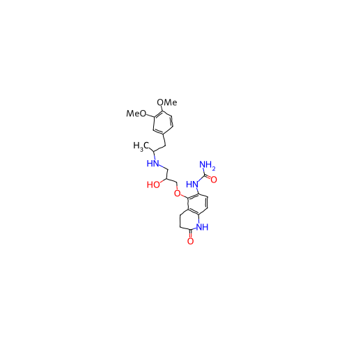 COc1ccc(CC(C)NCC(O)COc2c(NC(N)=O)ccc3c2CCC(=O)N3)cc1OC